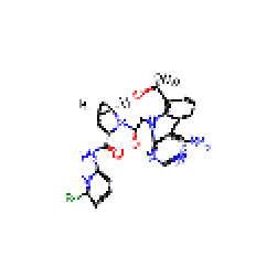 COC(=O)c1cccc2c3c(N)ncnc3n(CC(=O)N3[C@@H]4C[C@@H]4C[C@H]3C(=O)Nc3cccc(Br)n3)c12